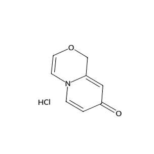 Cl.O=c1ccn2c(c1)COC=C2